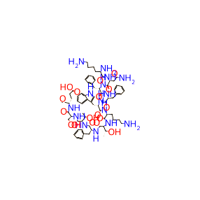 C[C@@H](O)[C@H](NC(=O)[C@H](Cc1ccccc1)NC(=O)[C@@H](NC(=O)[C@H](CCCCN)NC(=O)[C@H](Cc1c[nH]c2ccccc12)NC(=O)[C@H](Cc1ccccc1)NC(=O)[C@H](Cc1ccccc1)NC(=O)[C@H](CC(N)=O)NC(=O)[C@@H](N)CCCCN)[C@@H](C)O)C(=O)N[C@@H](CO)C(=O)N[C@H]([C]=O)CCC(=O)O